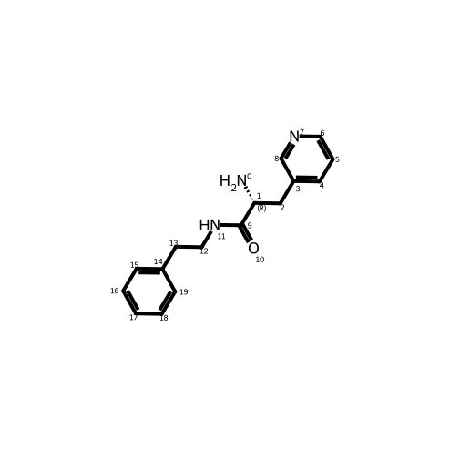 N[C@H](Cc1cccnc1)C(=O)NCCc1ccccc1